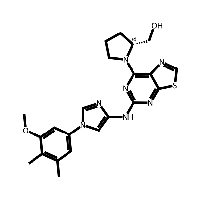 COc1cc(-n2cnc(Nc3nc(N4CCC[C@@H]4CO)c4ncsc4n3)c2)cc(C)c1C